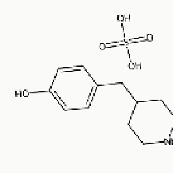 O=S(=O)(O)O.Oc1ccc(CC2CCNCC2)cc1